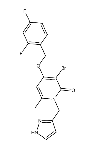 Cc1cc(OCc2ccc(F)cc2F)c(Br)c(=O)n1Cc1cc[nH]n1